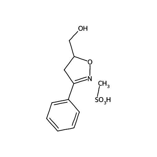 CS(=O)(=O)O.OCC1CC(c2ccccc2)=NO1